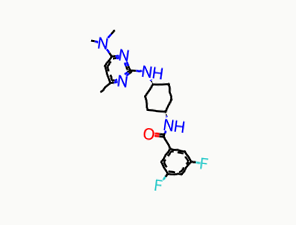 Cc1cc(N(C)C)nc(N[C@H]2CC[C@@H](NC(=O)c3cc(F)cc(F)c3)CC2)n1